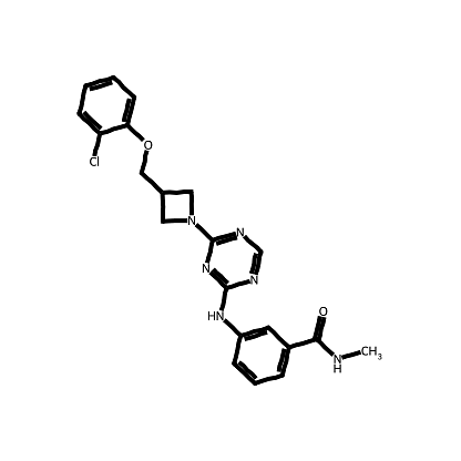 CNC(=O)c1cccc(Nc2ncnc(N3CC(COc4ccccc4Cl)C3)n2)c1